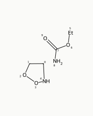 C1COON1.CCOC(N)=O